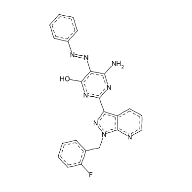 Nc1nc(-c2nn(Cc3ccccc3F)c3ncccc23)nc(O)c1/N=N/c1ccccc1